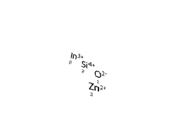 [In+3].[O-2].[Si+4].[Zn+2]